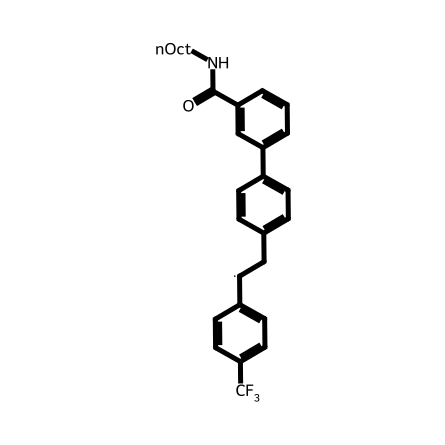 CCCCCCCCNC(=O)c1cccc(-c2ccc(C[CH]c3ccc(C(F)(F)F)cc3)cc2)c1